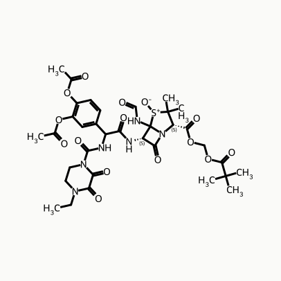 CCN1CCN(C(=O)NC(C(=O)N[C@H]2C(=O)N3[C@@H](C(=O)OCOC(=O)C(C)(C)C)C(C)(C)[S+]([O-])C23NC=O)c2ccc(OC(C)=O)c(OC(C)=O)c2)C(=O)C1=O